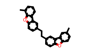 Cc1ccc2oc3ccc(CCc4ccc5oc6c(C)cccc6c5c4)cc3c2c1